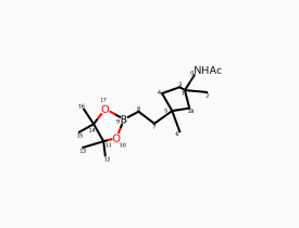 CC(=O)NC1(C)CCC(C)(CCB2OC(C)(C)C(C)(C)O2)C1